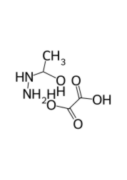 CC(O)NN.O=C(O)C(=O)O